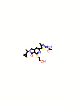 CC(=O)Nc1nc(C)c(-c2cc3c(c(OCCO)n2)C(=O)N(C(C)C2CC2)C3)s1